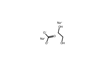 O=C([O-])[O-].OCCO.[Na+].[Na+]